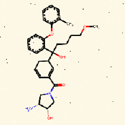 COCCCCC(O)(c1ccccc1Oc1ccccc1C)C1C=C(C(=O)N2C[C@@H](N)[C@@H](O)C2)C=CC1